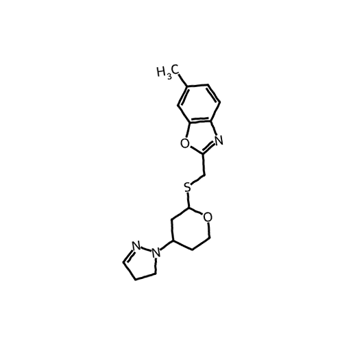 Cc1ccc2nc(CSC3CC(N4CCC=N4)CCO3)oc2c1